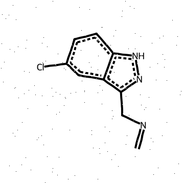 C=NCc1n[nH]c2ccc(Cl)cc12